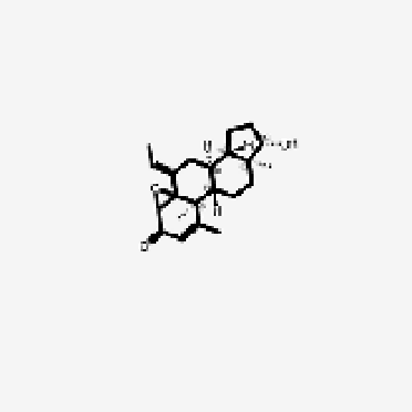 CC=C1C[C@H]2[C@@H]3CC[C@H](O)[C@@]3(C)CC[C@@H]2[C@@]2(C)C(C)=CC(=O)C3OC132